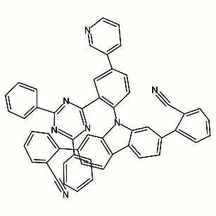 N#Cc1ccccc1-c1ccc2c3ccc(-c4ccccc4C#N)cc3n(-c3ccc(-c4cccnc4)cc3-c3nc(-c4ccccc4)nc(-c4ccccc4)n3)c2c1